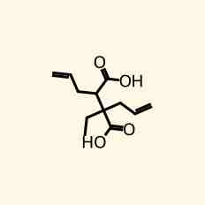 C=CCC(C(=O)O)C(CC)(CC=C)C(=O)O